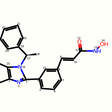 Cc1nc(-c2cccc(/C=C/C(=O)NO)c2)n([C@H](C)c2ccccc2)c1C